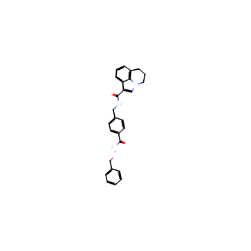 O=C(NOCc1ccccc1)c1ccc(CNC(=O)c2cn3c4c(cccc24)CCC3)cc1